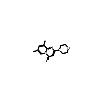 Cc1cc(C)c2nc(N3CCOCC3)cc(=O)n2c1